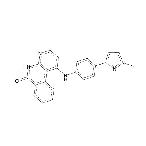 Cn1ccc(-c2ccc(Nc3ccnc4[nH]c(=O)c5ccccc5c34)cc2)n1